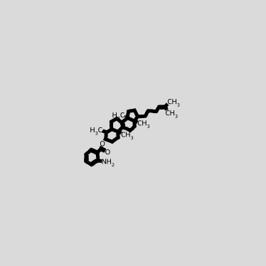 CC(C)=CCCCC1CC[C@@]2(C)C3=C(CCC12C)C1(C)CCC(OC(=O)c2ccccc2N)C(C)C1CC3